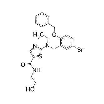 CCN(Cc1cc(Br)ccc1OCc1ccccc1)c1ncc(C(=O)NCCO)s1